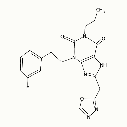 CCCn1c(=O)c2[nH]c(Cc3nnco3)nc2n(CCc2cccc(F)c2)c1=O